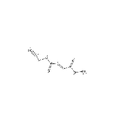 C#CCOC(=O)C=CC(=O)OC